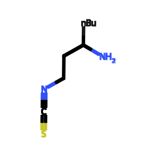 CCCCC(N)CCN=C=S